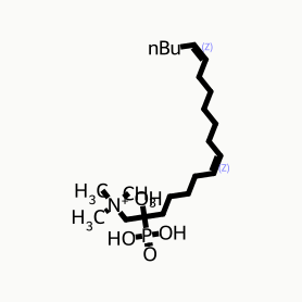 CCCC/C=C\CCCCC/C=C\CCCCC(O)(C[N+](C)(C)C)P(=O)(O)O